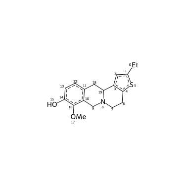 CCc1cc2c(s1)CCN1Cc3c(ccc(O)c3OC)CC21